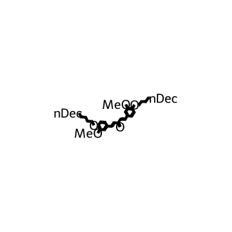 CCCCCCCCCCCCCCOc1ccc(C=CC(=O)C=Cc2ccc(OCCCCCCCCCCCCCC)c(OC)c2)cc1OC